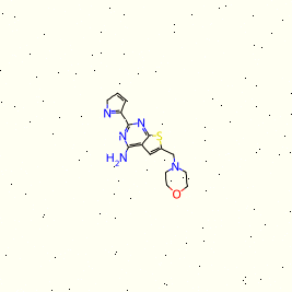 Nc1nc(C2=NCC=C2)nc2sc(CN3CCOCC3)cc12